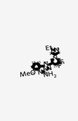 CCn1cc(N2CC(c3nc4c5cccc(OC)c5nc(N)n4n3)CC(F)(F)C2)cn1